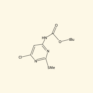 CSc1nc(Cl)cc(NC(=O)OC(C)(C)C)n1